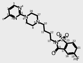 Cc1ccnc(N2CCN(CCCCN3C(=O)c4cc(F)ccc4S3(=O)=O)CC2)n1